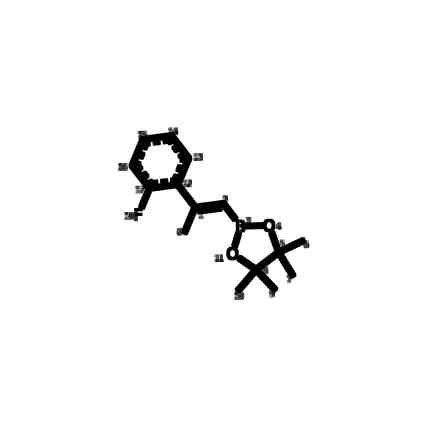 CC(=CB1OC(C)(C)C(C)(C)O1)c1ccccc1F